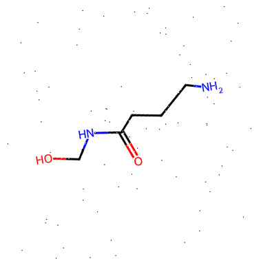 NCCCC(=O)NCO